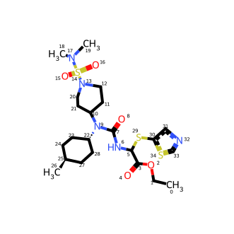 CCOC(=O)C(NC(=O)N(C1CCN(S(=O)(=O)N(C)C)CC1)[C@H]1CC[C@H](C)CC1)Sc1cncs1